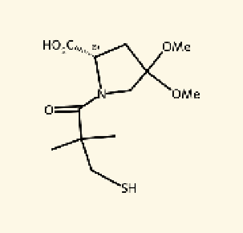 COC1(OC)C[C@@H](C(=O)O)N(C(=O)C(C)(C)CS)C1